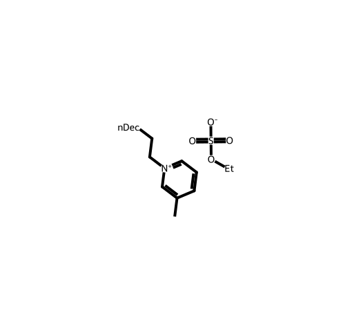 CCCCCCCCCCCC[n+]1cccc(C)c1.CCOS(=O)(=O)[O-]